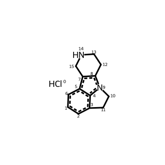 Cl.c1cc2c3c(c1)c1c(n3CC2)CCNC1